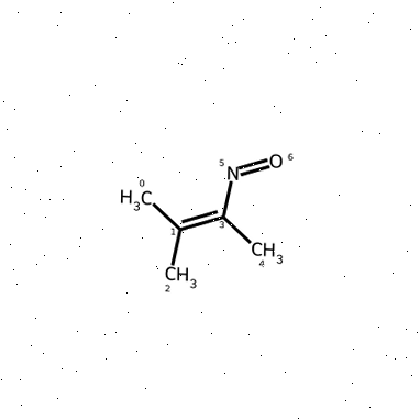 CC(C)=C(C)N=O